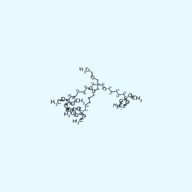 CCOCC(COCCCCC[Si](OC)(OC)OC)(COCCCCC[Si](OC)(OC)OC)COCCCCC[Si](OC)(OC)OC